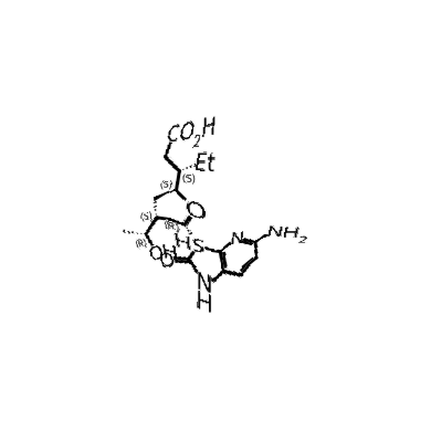 CC[C@@H](CC(=O)O)[C@@H]1C[C@@H]([C@@H](C)O)[C@@H]([SH]2C(=O)Nc3ccc(N)nc32)O1